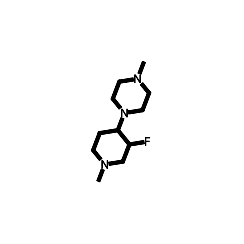 CN1CCN(C2CCN(C)CC2F)CC1